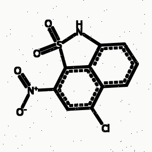 O=[N+]([O-])c1cc(Cl)c2cccc3c2c1S(=O)(=O)N3